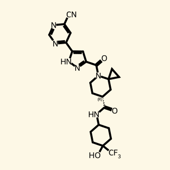 N#Cc1cc(-c2cc(C(=O)N3CC[C@@H](C(=O)NC4CCC(O)(C(F)(F)F)CC4)CC34CC4)n[nH]2)ncn1